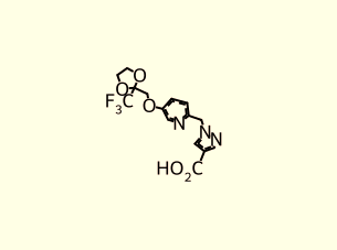 O=C(O)c1cnn(Cc2ccc(OCC3(C(F)(F)F)OCCO3)cn2)c1